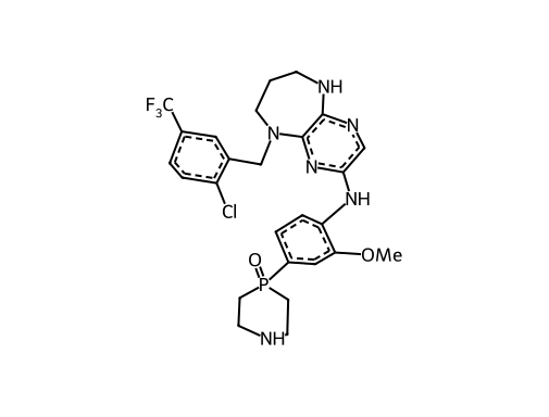 COc1cc(P2(=O)CCNCC2)ccc1Nc1cnc2c(n1)N(Cc1cc(C(F)(F)F)ccc1Cl)CCCN2